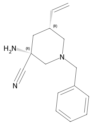 C=C[C@@H]1CN(Cc2ccccc2)C[C@@](N)(C#N)C1